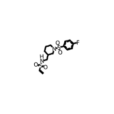 C=CS(=O)(=O)NCC1CCCN(S(=O)(=O)c2ccc(F)cc2)C1